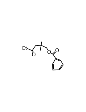 CCC(=O)CC(C)(C)COC(=O)c1ccccc1